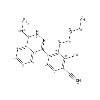 C#Cc1ccc(C2=NNC(NC)c3ccccc32)c(OCOCC)c1F